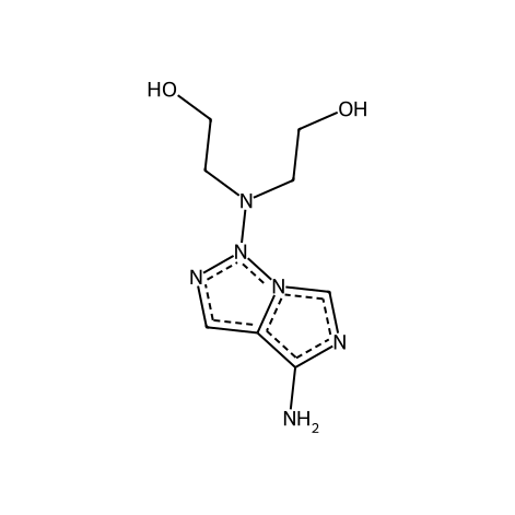 Nc1ncn2c1cnn2N(CCO)CCO